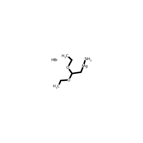 Br.CCOC([CH2][Mg][SiH3])OCC